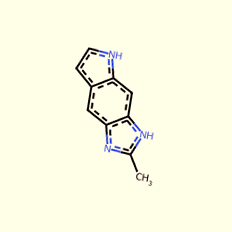 Cc1nc2cc3cc[nH]c3cc2[nH]1